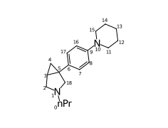 CCCN1CC2CC2(c2ccc(N3CCCCC3)cc2)C1